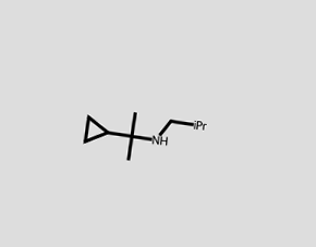 CC(C)CNC(C)(C)C1CC1